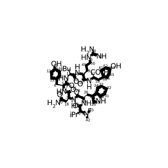 CC[C@H](C)[C@H](NC(=O)[C@H](Cc1ccc(O)cc1)NC(=O)[C@H](CC(N)=O)NC(=O)[C@H](Cc1c[nH]c2ccccc12)NC(=O)[C@H](C(C)C)N(C)F)C(=O)N[C@@H](CCCNC(=N)N)C(=O)N[C@@H](Cc1ccc(O)cc1)C(=O)O